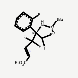 CCOC(=O)/C=C/C(F)(F)[C@](N[S+]([O-])C(C)(C)C)(c1ccccc1F)C(F)F